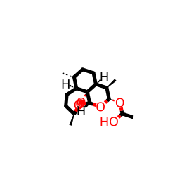 CC(O)O[C@@H]1O[C@@H]2O[C@@]3(C)CC[C@H]4[C@H](C)CC[C@@H]([C@H]1C)[C@@]24OO3